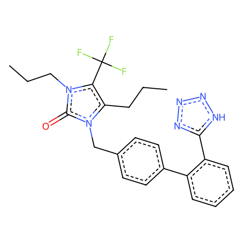 CCCc1c(C(F)(F)F)n(CCC)c(=O)n1Cc1ccc(-c2ccccc2-c2nnn[nH]2)cc1